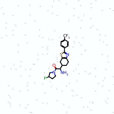 NC(C(=O)N1CCC(F)C1)C1CCc2nc(-c3ccc(C(F)(F)F)cc3)sc2C1